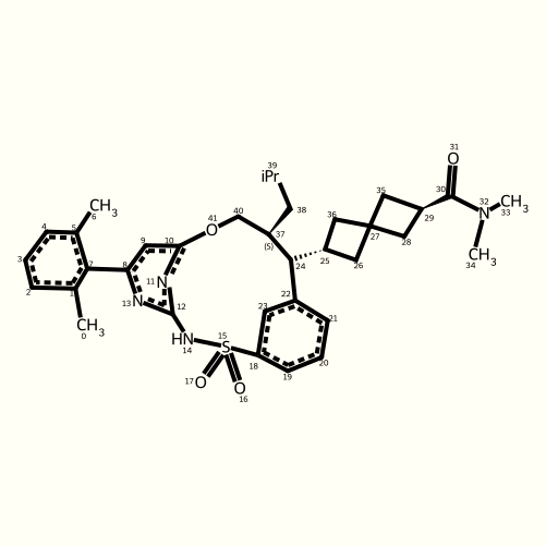 Cc1cccc(C)c1-c1cc2nc(n1)NS(=O)(=O)c1cccc(c1)C([C@H]1CC3(C[C@H](C(=O)N(C)C)C3)C1)[C@H](CC(C)C)CO2